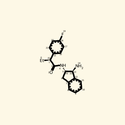 CC[C@H](C(=O)N[C@H]1Cc2ccccc2[C@@H]1N)c1ccc(F)cc1